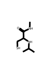 CNC(=O)C(CS)NC(C)C